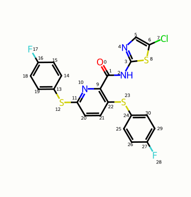 O=C(Nc1n[c]c(Cl)s1)c1nc(Sc2ccc(F)cc2)ccc1Sc1ccc(F)cc1